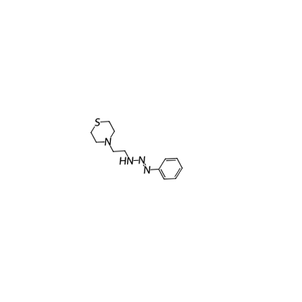 c1ccc(N=NNCCN2CCSCC2)cc1